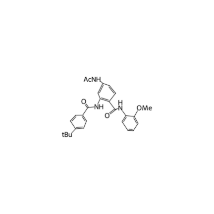 COc1ccccc1NC(=O)c1ccc(NC(C)=O)cc1NC(=O)c1ccc(C(C)(C)C)cc1